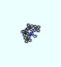 c1ccc(-c2cc(-n3c4ccc([Si](c5ccccc5)(c5ccccc5)c5ccccc5)cc4c4cc(S(c5ccccc5)(c5ccccc5)c5ccccc5)ccc43)nc(-n3c4ccc([Si](c5ccccc5)(c5ccccc5)c5ccccc5)cc4c4cc([Si](c5ccccc5)(c5ccccc5)c5ccccc5)ccc43)n2)cc1